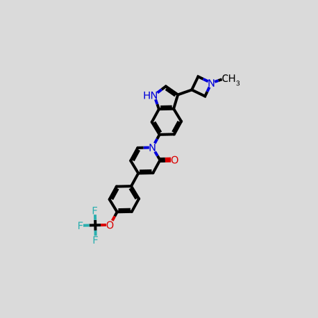 CN1CC(c2c[nH]c3cc(-n4ccc(-c5ccc(OC(F)(F)F)cc5)cc4=O)ccc23)C1